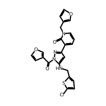 O=C(c1ccoc1)n1nc(-c2cccn(Cc3ccoc3)c2=O)cc1NCc1ccc(Cl)s1